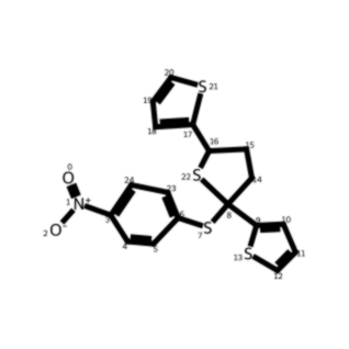 O=[N+]([O-])c1ccc(SC2(c3cccs3)CCC(c3cccs3)S2)cc1